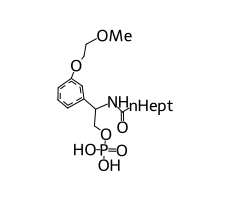 CCCCCCCC(=O)NC(COP(=O)(O)O)c1cccc(OCCOC)c1